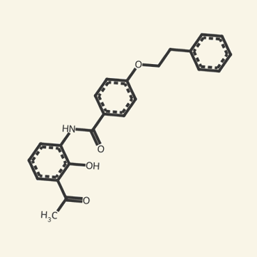 CC(=O)c1cccc(NC(=O)c2ccc(OCCc3ccccc3)cc2)c1O